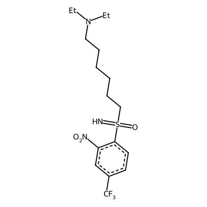 CCN(CC)CCCCCCS(=N)(=O)c1ccc(C(F)(F)F)cc1[N+](=O)[O-]